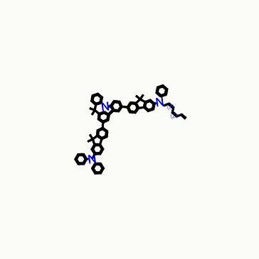 C=C/C=C\C=C/CN(c1ccccc1)c1ccc2c(c1)C(C)(C)c1cc(-c3ccc4c(c3)c3cc(-c5ccc6c(c5)C(C)(C)c5cc(N(c7ccccc7)c7ccccc7)ccc5-6)cc5c3n4-c3ccccc3C5(C)C)ccc1-2